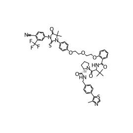 Cc1ncsc1-c1ccc(CNC(=O)[C@@H]2CCCN2C(=O)C(NC(=O)c2ccccc2OCCOCCOc2ccc(N3C(=S)N(c4ccc(C#N)c(C(F)(F)F)c4)C(=O)C3(C)C)cc2)C(C)(C)C)cc1